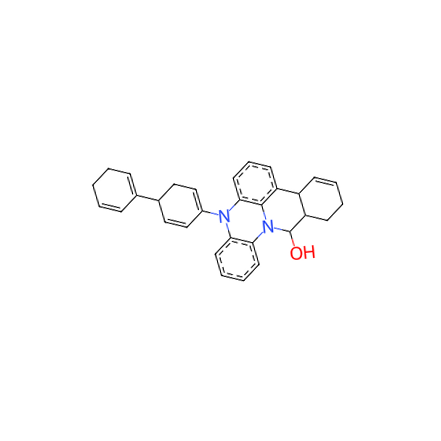 OC1C2CCC=CC2c2cccc3c2N1c1ccccc1N3C1=CCC(C2=CCCC=C2)C=C1